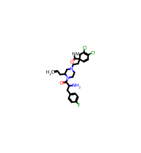 C=CCC1CN(CCC2(C(=O)NC)C=CC(Cl)=C(Cl)C2)CCN1C(=O)C(N)Cc1ccc(F)cc1